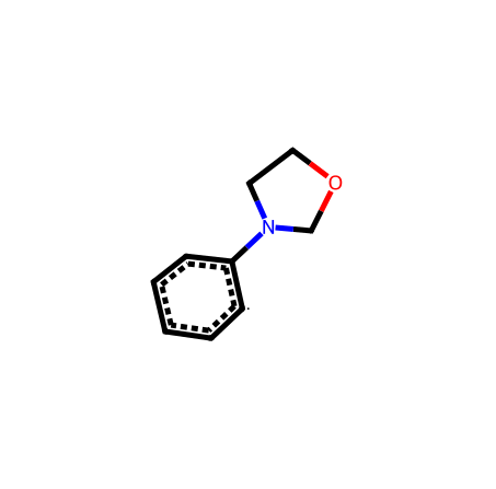 [c]1ccccc1N1CCOC1